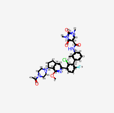 COc1nc(-c2ccc(F)c(-c3cccc(NC(=O)c4cn(C)c(=O)n(C)c4=O)c3C)c2Cl)cc2c1[C@@H](N1CCN(C(C)=O)CC1)CC2